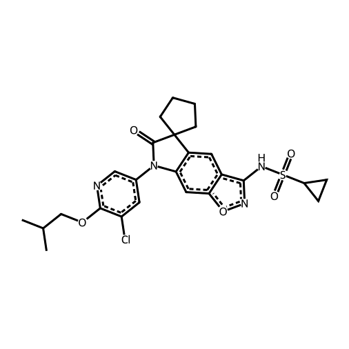 CC(C)COc1ncc(N2C(=O)C3(CCCC3)c3cc4c(NS(=O)(=O)C5CC5)noc4cc32)cc1Cl